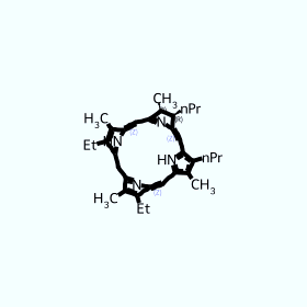 CCCc1c2[nH]c(c1C)/C=C1\N=C(CC3N/C(=C\C4=NC(=C\2)/[C@H](CCC)[C@H]4C)C(C)=C3CC)C(C)=C1CC